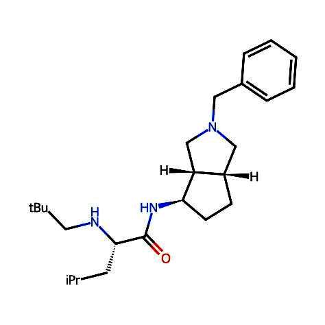 CC(C)C[C@H](NCC(C)(C)C)C(=O)N[C@@H]1CC[C@H]2CN(Cc3ccccc3)C[C@H]21